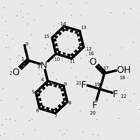 CC(=O)N(c1ccccc1)c1ccccc1.O=C(O)C(F)(F)F